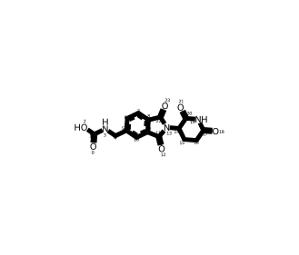 O=C(O)NCc1ccc2c(c1)C(=O)N(C1CCC(=O)NC1=O)C2=O